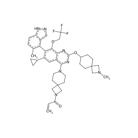 C=CC(=O)N1CC2(CCN(c3nc(OC4CCC5(CC4)CN(C)C5)nc4c(OCC(F)(F)F)c(-c5c(C)ccc6[nH]ncc56)c(C5CC5)cc34)CC2)C1